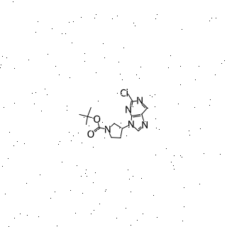 CC(C)(C)OC(=O)N1CCC(n2cnc3cnc(Cl)nc32)C1